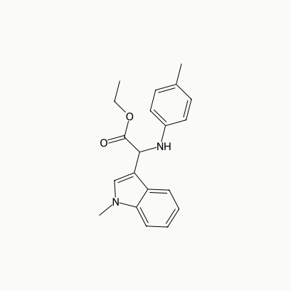 CCOC(=O)C(Nc1ccc(C)cc1)c1cn(C)c2ccccc12